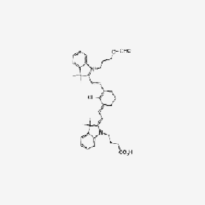 CC1(C)C(/C=C/C2=C(Cl)C(=C/C=C3/N(CCCC(=O)O)c4ccccc4C3(C)C)/CCC2)=[N+](CCCOC=O)c2ccccc21